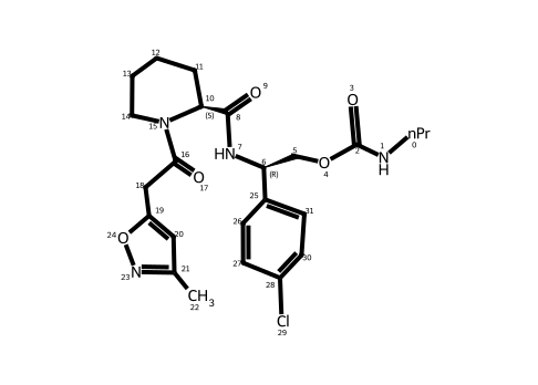 CCCNC(=O)OC[C@H](NC(=O)[C@@H]1CCCCN1C(=O)Cc1cc(C)no1)c1ccc(Cl)cc1